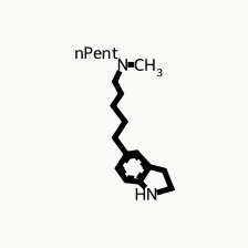 CCCCCN(C)CCCCCc1ccc2c(c1)CCN2